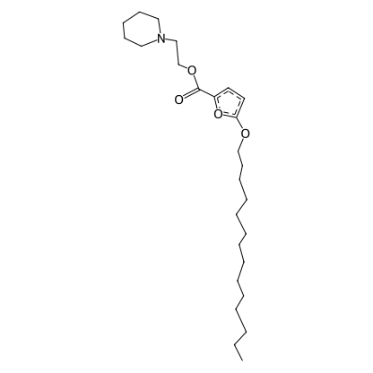 CCCCCCCCCCCCCCOc1ccc(C(=O)OCCN2CCCCC2)o1